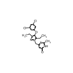 CCc1nn(Cc2cc(=O)[nH]c(C)n2)c(CC)c1Oc1cc(Cl)cc(Cl)c1